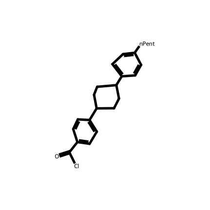 CCCCCc1ccc(C2CCC(c3ccc(C(=O)Cl)cc3)CC2)cc1